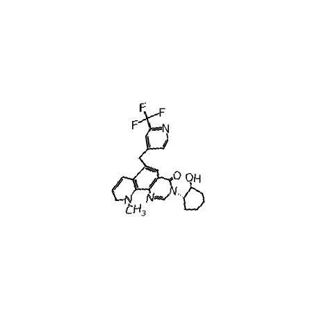 CN1CC=Cc2c(Cc3ccnc(C(F)(F)F)c3)cc3c(=O)n([C@H]4CCCC[C@@H]4O)cnc3c21